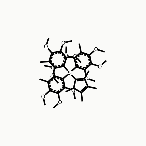 COc1c(C)c(OC)c([Si](C2=C(C)C(C)=C(C)C2C)(c2c(OC)c(C)c(OC)c(OC)c2OC)c2c(OC)c(C)c(OC)c(OC)c2OC)c(OC)c1OC